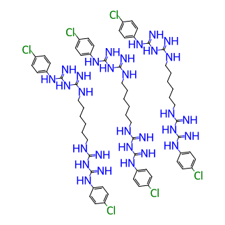 N=C(NCCCCCCNC(=N)NC(=N)Nc1ccc(Cl)cc1)NC(=N)Nc1ccc(Cl)cc1.N=C(NCCCCCCNC(=N)NC(=N)Nc1ccc(Cl)cc1)NC(=N)Nc1ccc(Cl)cc1.N=C(NCCCCCCNC(=N)NC(=N)Nc1ccc(Cl)cc1)NC(=N)Nc1ccc(Cl)cc1